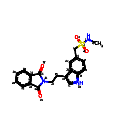 CNS(=O)(=O)Cc1ccc2[nH]cc(CCN3C(=O)c4ccccc4C3=O)c2c1